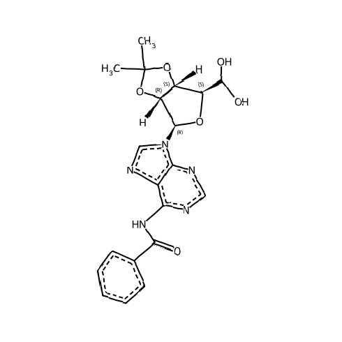 CC1(C)O[C@@H]2[C@H](O1)[C@@H](C(O)O)O[C@H]2n1cnc2c(NC(=O)c3ccccc3)ncnc21